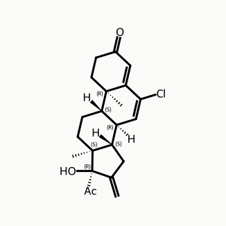 C=C1C[C@H]2[C@@H]3C=C(Cl)C4=CC(=O)CC[C@]4(C)[C@H]3CC[C@]2(C)[C@@]1(O)C(C)=O